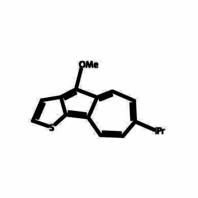 COc1c2ccc(C(C)C)ccc-2c2sccc12